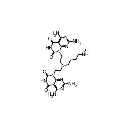 CNCCCCN(CCn1c(=O)[nH]c(=O)c2c(N)nc(N)nc21)CCn1c(=O)[nH]c(=O)c2c(N)nc(N)nc21